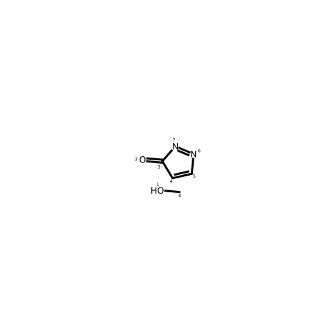 CO.O=C1C=CN=N1